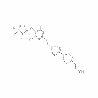 CCCC1CCC(c2ccc(CCc3cc(F)c(OC(F)(F)C(F)C(F)(F)F)c(F)c3)cc2)CC1